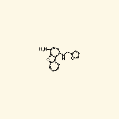 Nc1ccc(NCc2ccco2)c2c1oc1ccccc12